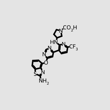 Nc1nc2c(Oc3cc(-c4ccc(C(F)(F)F)nc4NC4CCN(C(=O)O)C4)ncn3)cccc2s1